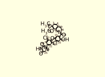 COc1ccc2c(c1OC)CN(C(=O)c1cc(Oc3c(Cl)cc(-n4ncc(=O)[nH]c4=O)cc3Cl)ccc1O)CC2